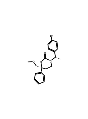 COC[C@@]1(c2ccccc2)CCN([C@@H](C)c2ccc(Br)cc2)C(=O)O1